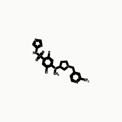 CN(c1cc(F)c(S(=O)(=O)Nc2cscn2)cc1Cl)C1CCN(Cc2ccnc(C(F)(F)F)c2)C1